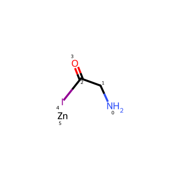 NCC(=O)I.[Zn]